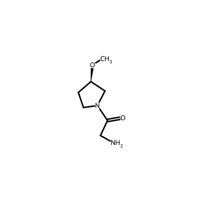 CO[C@@H]1CCN(C(=O)CN)C1